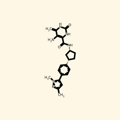 C=C1NC(=O)NC(C(=O)N[C@@H]2CC[C@H](c3ccc(-c4cc(C)nn4C)cc3)C2)=C1N